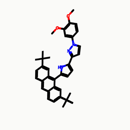 COc1ccc(-n2ccc(-c3ccc(-c4c5cc(C(C)(C)C)ccc5cc5ccc(C(C)(C)C)cc45)[nH]3)n2)cc1OC